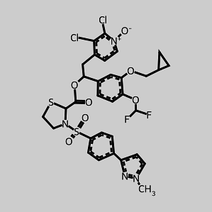 Cn1ccc(-c2ccc(S(=O)(=O)N3CCSC3C(=O)OC(Cc3cc[n+]([O-])c(Cl)c3Cl)c3ccc(OC(F)F)c(OCC4CC4)c3)cc2)n1